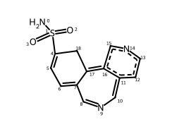 NS(=O)(=O)C1=CC=C2C=NC=c3ccncc3=C2C1